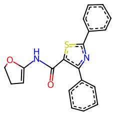 O=C(NC1=CCCO1)c1sc(-c2ccccc2)nc1-c1ccccc1